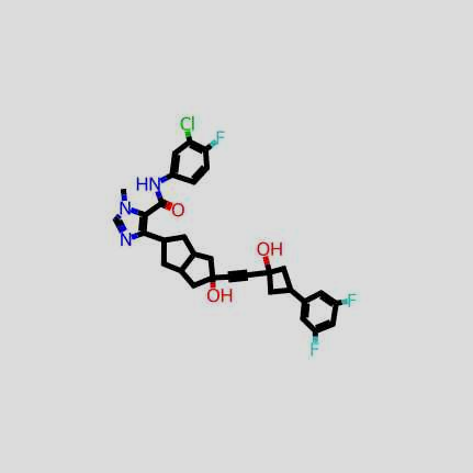 Cn1cnc(C2CC3CC(O)(C#CC4(O)CC(c5cc(F)cc(F)c5)C4)CC3C2)c1C(=O)Nc1ccc(F)c(Cl)c1